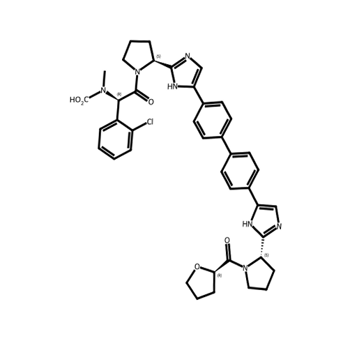 CN(C(=O)O)[C@@H](C(=O)N1CCC[C@H]1c1ncc(-c2ccc(-c3ccc(-c4cnc([C@@H]5CCCN5C(=O)[C@H]5CCCO5)[nH]4)cc3)cc2)[nH]1)c1ccccc1Cl